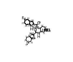 CN1CCc2nc(C(=O)N[C@@H]3CNCC[C@@H]3NC(=O)c3cc4cc(F)ccc4[nH]3)sc2C1.Cl.Cl